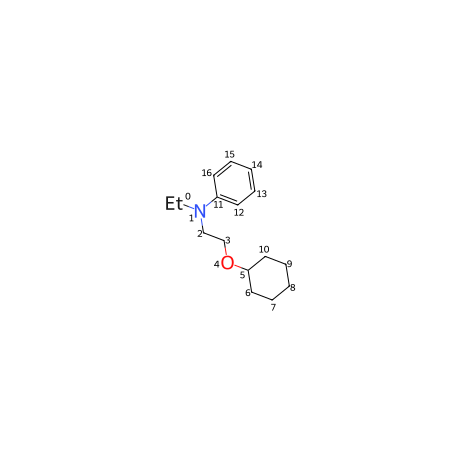 CCN(CCOC1CCCCC1)c1ccccc1